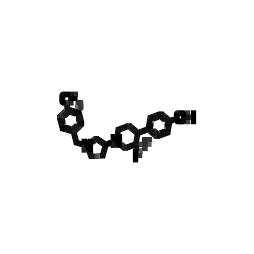 Oc1ccc(C2CCN([C@H]3CCN(Cc4ccc(C(F)(F)F)cc4)C3)CC2(F)F)cc1